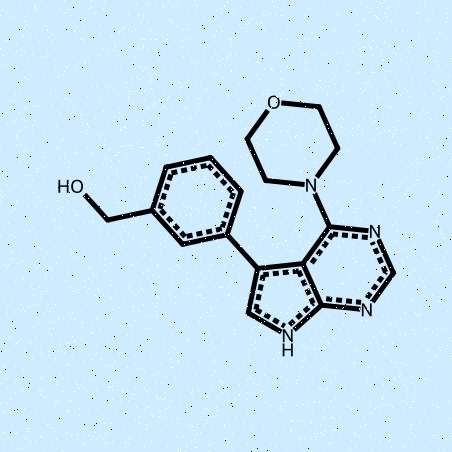 OCc1cccc(-c2c[nH]c3ncnc(N4CCOCC4)c23)c1